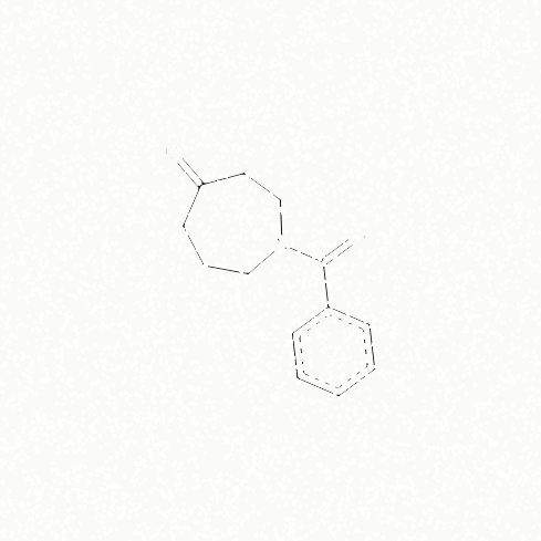 O=C1CCCN(C(=O)c2ccccc2)CC1